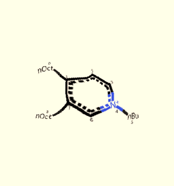 CCCCCCCCc1cc[n+](CCCC)cc1CCCCCCCC